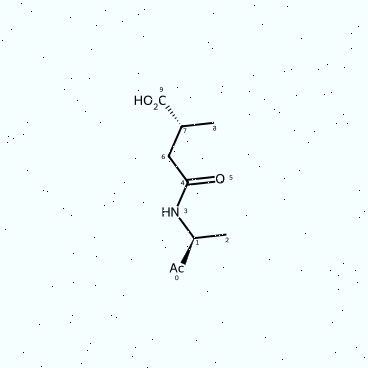 CC(=O)[C@H](C)NC(=O)C[C@@H](C)C(=O)O